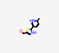 CC1C=CC(C2NC=C(C=O)S2)=CN1